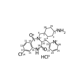 Cl.NC1CCC(CN2C(=O)c3ccc(Cl)cc3NC(=O)C2Cc2ccccn2)CC1